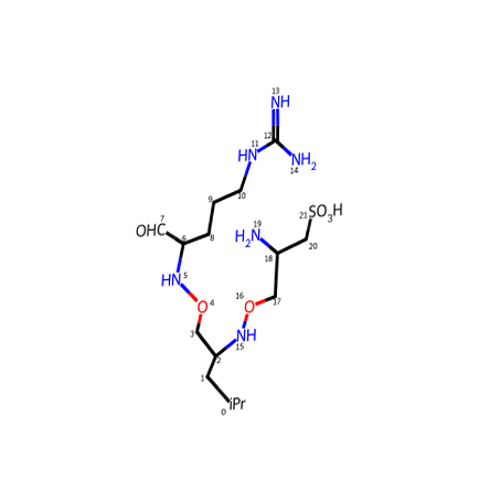 CC(C)CC(CONC(C=O)CCCNC(=N)N)NOCC(N)CS(=O)(=O)O